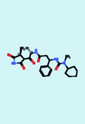 CC(C)[C@H](NC(=O)CC(NC(=O)N(C)C1CCCCC1)c1ccccc1)C(=O)C1C(=O)NC(=O)[C@H]1C